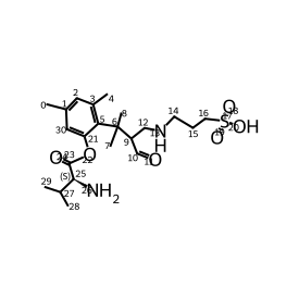 Cc1cc(C)c(C(C)(C)C(C=O)CNCCCS(=O)(=O)O)c(OC(=O)[C@@H](N)C(C)C)c1